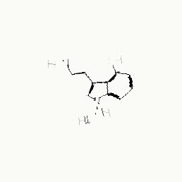 Cc1cccc2c1c(CCN)cn2C.I